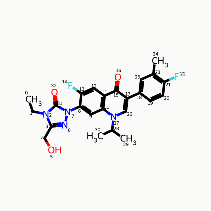 CCn1c(CO)nn(-c2cc3c(cc2F)c(=O)c(-c2ccc(F)c(C)c2)cn3C(C)C)c1=O